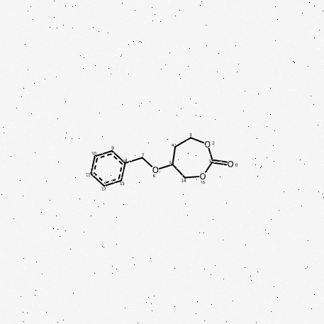 O=C1OCCC(OCc2ccccc2)CO1